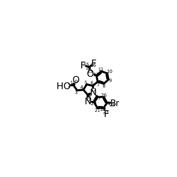 O=C(O)CC1CC(c2ccccc2OC(F)F)n2c1nc1cc(F)c(Br)cc12